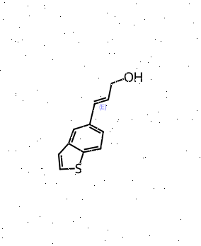 OC/C=C/c1ccc2sccc2c1